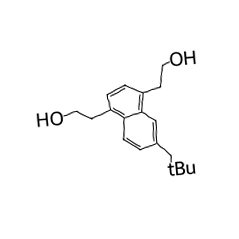 CC(C)(C)Cc1ccc2c(CCO)ccc(CCO)c2c1